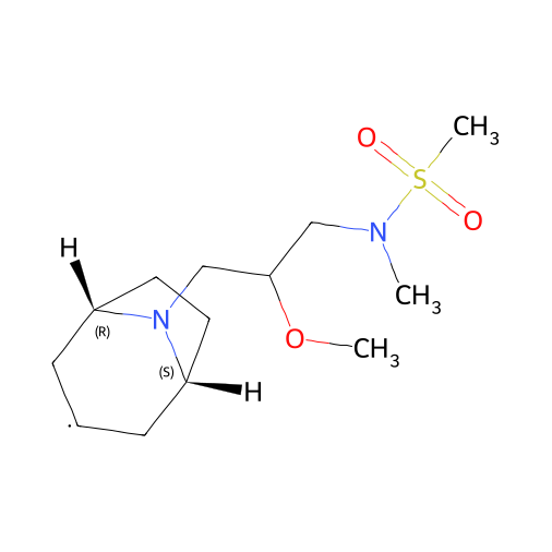 COC(CN1[C@@H]2C[CH]C[C@H]1CC2)CN(C)S(C)(=O)=O